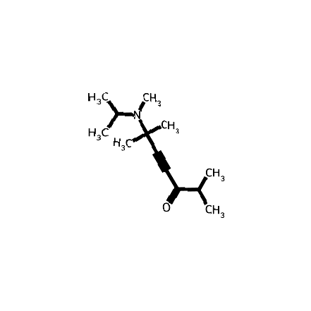 CC(C)C(=O)C#CC(C)(C)N(C)C(C)C